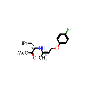 COC(=O)[C@H](CC(C)C)N/C(C)=C\COc1ccc(Br)cc1